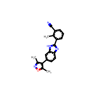 Cc1noc(C)c1-c1ccc2nc(-c3cccc(C#N)c3C)[nH]c2c1